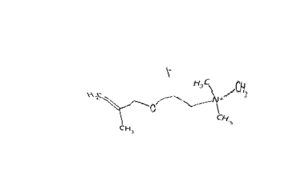 C=C(C)COCC[N+](C)(C)C.[I-]